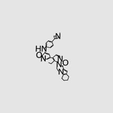 CCc1c(-c2cc(Nc3ccc(C4CN(C)C4)cc3)c(=O)n(C)c2)ccnc1N1CCn2c(cc3c2CCCC3)C1=O